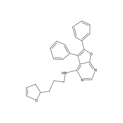 C1=COC(CCCNc2ncnc3oc(-c4ccccc4)c(-c4ccccc4)c23)C1